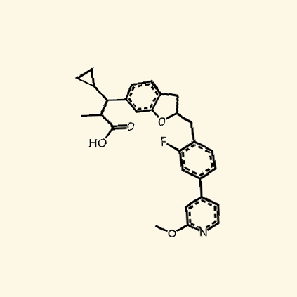 COc1cc(-c2ccc(CC3Cc4ccc(C(C5CC5)C(C)C(=O)O)cc4O3)c(F)c2)ccn1